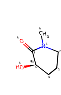 CN1CCC[C@@H](O)C1=O